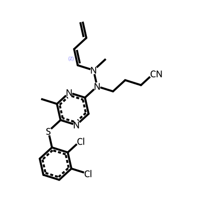 C=C/C=C\N(C)N(CCCC#N)c1cnc(Sc2cccc(Cl)c2Cl)c(C)n1